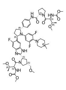 COC[C@H]1C[C@@H](c2nc3cc(F)c([C@H]4CC[C@H](c5ccc(NC(=O)[C@@H]6CCCN6C(=O)[C@@H](NC(=O)OC)[C@@H](C)OC)cc5)N4c4cc(F)c(N5CC[Si](C)(C)CC5)c(F)c4)cc3[nH]2)N(C(=O)[C@@H](NC(=O)OC)[C@@H](C)OC)C1